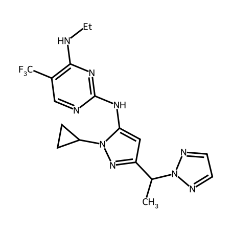 CCNc1nc(Nc2cc(C(C)n3nccn3)nn2C2CC2)ncc1C(F)(F)F